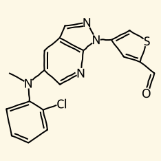 CN(c1cnc2c(cnn2-c2csc(C=O)c2)c1)c1ccccc1Cl